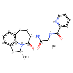 CC[C@H](C)[C@H](NC(=O)c1ccccn1)C(=O)N[C@H]1CCc2cccc3c2N(C1=O)[C@H](C(=O)O)C3